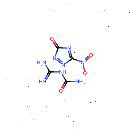 N=C(N)NC(N)=O.O=C1N=NC([N+](=O)[O-])=N1